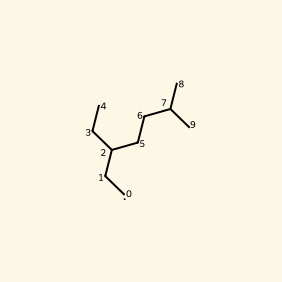 [CH2]CC(CC)CCC(C)C